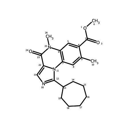 COC(=O)c1cc2c(cc1C)n1c(C3CCCCCC3)ncc1c(=O)n2C